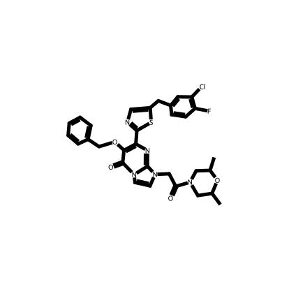 CC1CN(C(=O)Cn2ccn3c(=O)c(OCc4ccccc4)c(-c4ncc(Cc5ccc(F)c(Cl)c5)s4)nc23)CC(C)O1